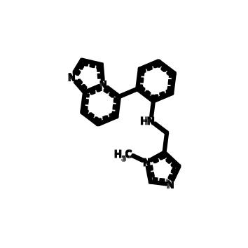 Cn1cncc1CNc1ccccc1-c1cccc2nccn12